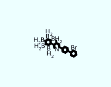 Bc1c(B)c(B)c(-c2cnc(-c3ccc(-c4ccccc4Br)cc3)cc2C)c(B)c1B